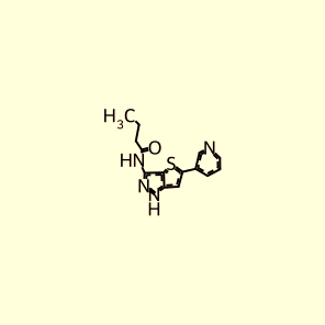 CCCC(=O)Nc1n[nH]c2cc(-c3cccnc3)sc12